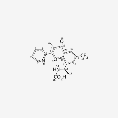 Cc1c(-c2ccccn2)oc2c([C@@H](C)NC(=O)O)cc(C(F)(F)F)cc2c1=O